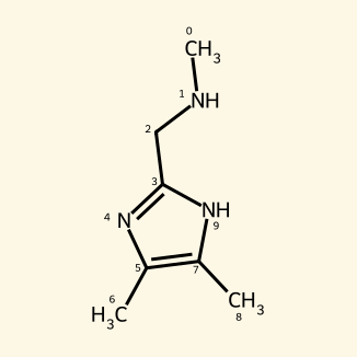 CNCc1nc(C)c(C)[nH]1